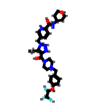 Cc1c(C(=O)N2CCN(Cc3ccc(OC(F)C(F)F)cc3)CC2)nnn1Cc1ccc(C(=O)NC2CCOCC2)nc1